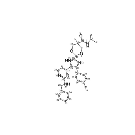 CC(C)NC(=O)C1(C)COC(c2nc(-c3ccc(F)cc3)c(-c3ccnc(NCc4ccccc4)n3)[nH]2)OC1